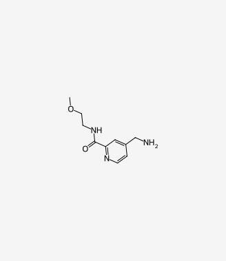 COCCNC(=O)c1cc(CN)ccn1